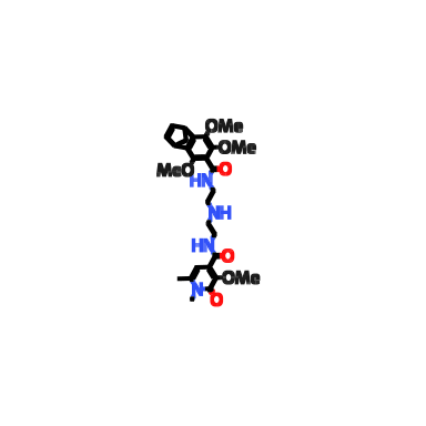 COc1c(OC)c2c(c(OC)c1C(=O)NCCNCCNC(=O)c1cc(C)n(C)c(=O)c1OC)C1C=CC2C1